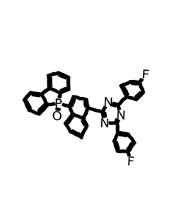 O=P1(c2ccc(-c3nc(-c4ccc(F)cc4)nc(-c4ccc(F)cc4)n3)c3ccccc23)c2ccccc2-c2ccccc21